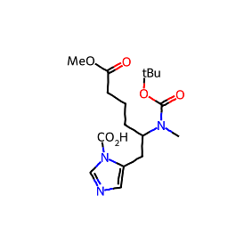 COC(=O)CCCC(Cc1cncn1C(=O)O)N(C)C(=O)OC(C)(C)C